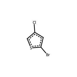 Clc1csc(Br)c1